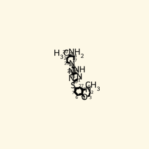 CN1CCOc2ccc(Sc3cnc4[nH]c(N5CCC(C)(N)CC5)nc4n3)cc21